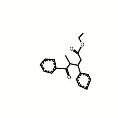 CCOC(=O)CC(c1ccccc1)C(C)C(=O)c1ccccc1